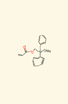 C=CC(=O)OC[Si](OC)(c1ccccc1)c1ccccc1